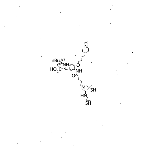 CCCCS(=O)(=O)N[C@@H](Cc1ccc(OCCCCC2CCNCC2)c(NC(=O)CCCCN(CCNCC(C)(C)S)CC(C)(C)S)c1)C(=O)O